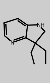 CCC1(CC)CNc2cccnc21